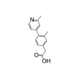 Cc1cc(-c2ccc(CC(=O)O)cc2C)ccn1